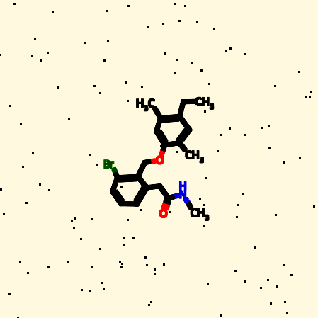 CCc1cc(C)c(OCc2c(Br)cccc2CC(=O)NC)cc1C